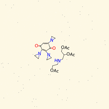 CC(=O)OCCNCC(COC(C)=O)OC(C)=O.O=C1C=C(N2CC2)C(=O)C(N2CC2)=C1N1CC1